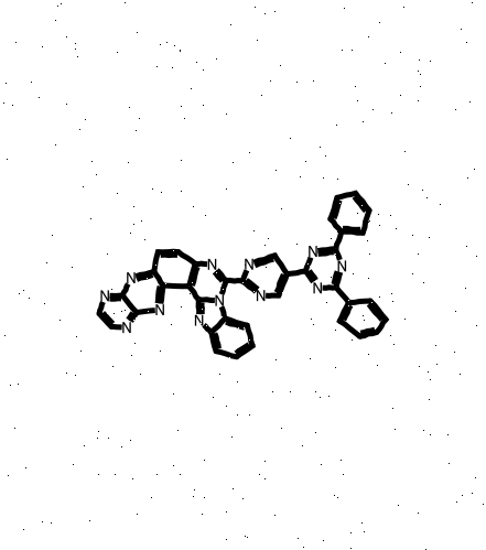 c1ccc(-c2nc(-c3ccccc3)nc(-c3cnc(-c4nc5ccc6nc7nccnc7nc6c5c5nc6ccccc6n45)nc3)n2)cc1